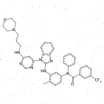 Cc1ccc(N(C(=O)c2cccc(C(F)(F)F)c2)c2ccccc2)cc1Nc1nc2ccccc2n1-c1cc(NCCCN2CCOCC2)ncn1